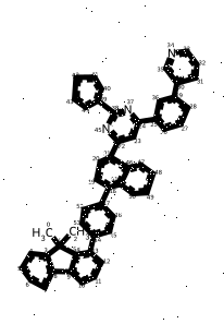 CC1(C)c2ccccc2-c2cccc(-c3ccc(-c4ccc(-c5cc(-c6cccc(-c7cccnc7)c6)nc(-c6ccccc6)n5)c5ccccc45)cc3)c21